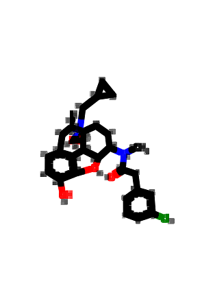 CN(C(=O)Cc1cccc(Cl)c1)C1CC[C@@]2(O)[C@H]3Cc4ccc(O)c5c4[C@@]2(CCN3CC2CC2)C1O5